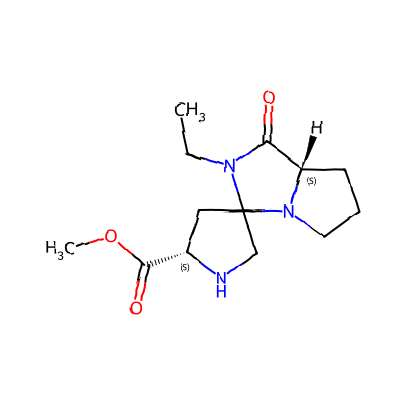 CCN1C(=O)[C@@H]2CCCN2C12CN[C@H](C(=O)OC)C2